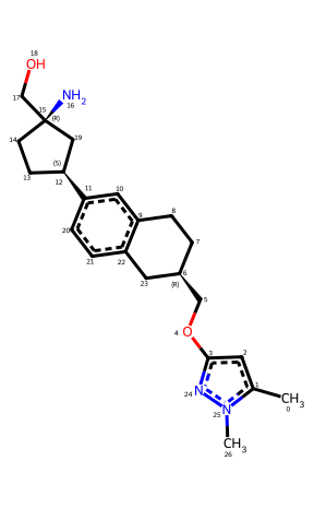 Cc1cc(OC[C@@H]2CCc3cc([C@H]4CC[C@](N)(CO)C4)ccc3C2)nn1C